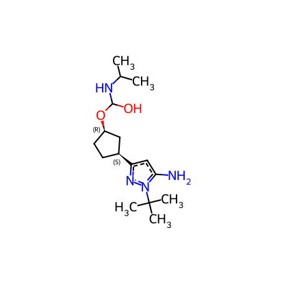 CC(C)NC(O)O[C@@H]1CC[C@H](c2cc(N)n(C(C)(C)C)n2)C1